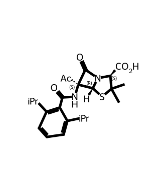 CC(=O)[C@]1(NC(=O)c2c(C(C)C)cccc2C(C)C)C(=O)N2[C@@H](C(=O)O)C(C)(C)S[C@@H]21